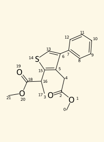 COC(=O)Cc1c(-c2ccccc2)csc1C(C)C(=O)OC